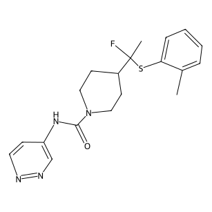 Cc1ccccc1SC(C)(F)C1CCN(C(=O)Nc2ccnnc2)CC1